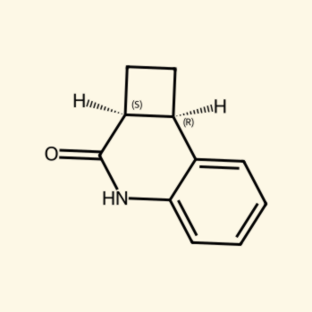 O=C1Nc2ccccc2[C@@H]2CC[C@H]12